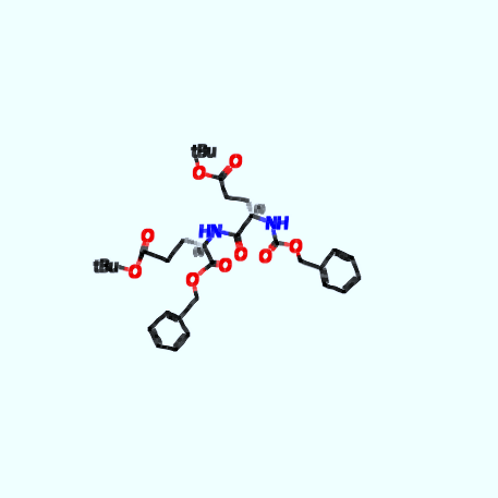 CC(C)(C)OC(=O)CC[C@H](NC(=O)OCc1ccccc1)C(=O)N[C@@H](CCC(=O)OC(C)(C)C)C(=O)OCc1ccccc1